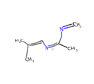 C=N/C(C)=N\C=C(C)C